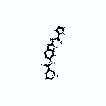 O=C(Nc1nc2ccc(NC(=O)C3CCCNC3)cc2s1)c1ccco1